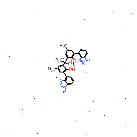 Cc1cc(-c2cccc3[nH]nnc23)c(O)c(C(C)(C)c2cc(C)cc(-c3cccc4[nH]nnc34)c2O)c1